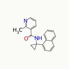 Cc1ncccc1C(=O)NC1(c2cccc3ccccc23)CC1